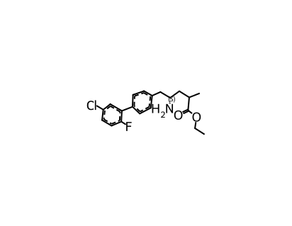 CCOC(=O)C(C)C[C@H](N)Cc1ccc(-c2cc(Cl)ccc2F)cc1